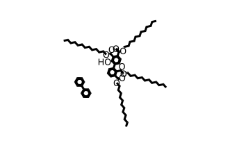 CCCCCCCCCCCCOC(=O)c1cccc(-c2ccc(C(=O)OCCCCCCCCCCCC)c(C(=O)OCCCCCCCCCCCC)c2O)c1C(=O)OCCCCCCCCCCCC.c1ccc(-c2ccccc2)cc1